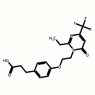 CCc1nc(C(F)(F)F)cc(=O)n1CCOc1ccc(CCC(=O)O)cc1